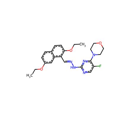 CCOc1ccc2ccc(OCC)c(/C=N/Nc3ncc(F)c(N4CCOCC4)n3)c2c1